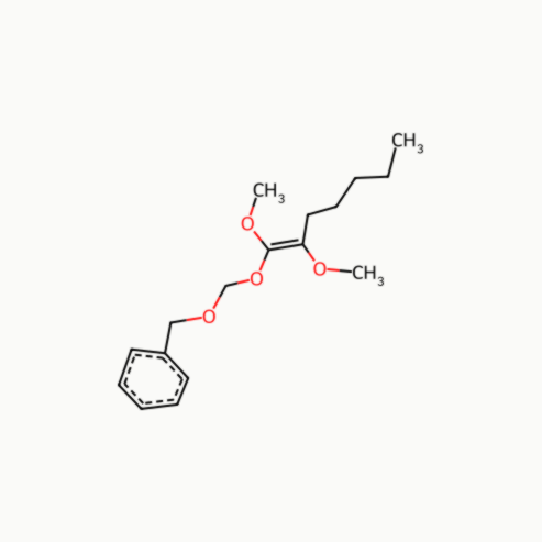 CCCCC/C(OC)=C(\OC)OCOCc1ccccc1